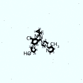 Cc1cccnc1N1CCN(c2nc(C3(F)CC3)nc3c(Cl)cc(N4CC[C@H](O)C4)cc23)CC1